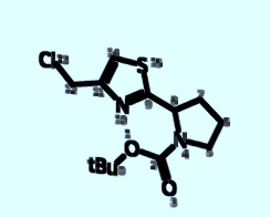 CC(C)(C)OC(=O)N1CCCC1c1nc(CCl)cs1